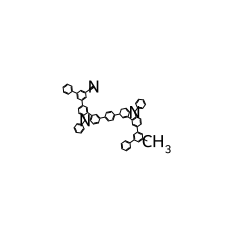 Cc1cc(-c2ccccc2)cc(-c2ccc3c(c2)c2c(n3-c3ccccc3)=CCC(c3ccc(-c4ccc5c(c4)c4cc(-c6cc(C#N)cc(-c7ccccc7)c6)ccc4n5-c4ccccc4)cc3)C=2)c1